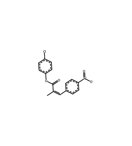 CC(=Cc1ccc([N+](=O)[O-])cc1)C(=O)Oc1ccc(Cl)cc1